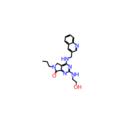 CCCN1Cc2c(NCc3cnc4ccccc4c3)nc(NCCO)nc2C1=O